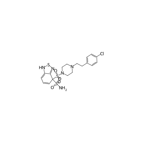 NS(=O)(=O)C1(S(=O)(=O)N2CCN(CCc3ccc(Cl)cc3)CC2)C=CC=C2NSN=C21